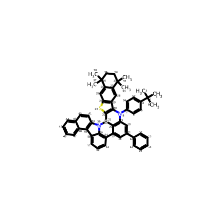 CC(C)(C)c1ccc(N2c3cc(-c4ccccc4)cc4c3B(c3sc5cc6c(cc5c32)C(C)(C)CCC6(C)C)n2c3ccc5ccccc5c3c3cccc-4c32)cc1